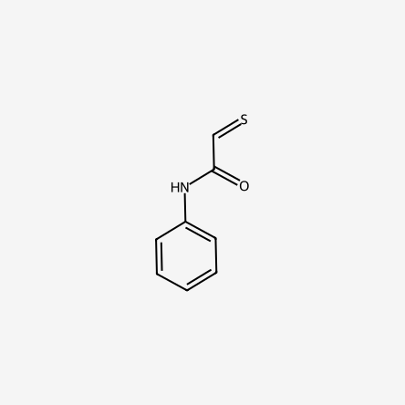 O=C(C=S)Nc1ccccc1